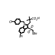 CC(C)c1ccc2c(c1)c(S(=O)(=O)CC(C)(C)C)c(CC(C)(C)C(=O)O)n2Cc1ccc(Cl)cc1